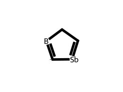 B1=[C][Sb]=[CH]C1